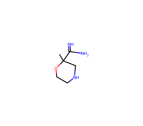 CC1(C(=N)N)CNCCO1